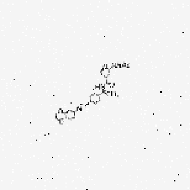 CC(=O)Nc1cc(C(=O)N[C@@H](C)c2ccc(C3CN(c4ccc5c(c4)OCCO5)C3)cc2)ccn1